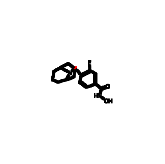 O=C(NO)c1ccc(CN2C3CCCC2CCC3)c(F)c1